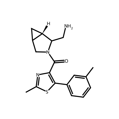 Cc1cccc(-c2sc(C)nc2C(=O)N2CC3C[C@@H]3C2CN)c1